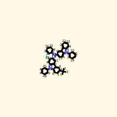 CC(C)(C)c1ccc2c(c1)c1cc(N(c3ccc4c(c3)c3ccccc3n4-c3ccccc3)c3ccccc3F)ccc1n2-c1ccccc1